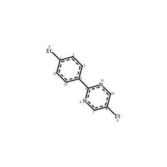 CCc1ccc(-c2ncc(CC)cn2)cc1